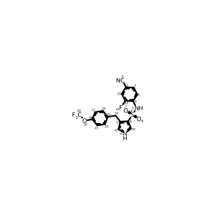 N#Cc1ccc(NS(=O)(=O)c2c[nH]cc2Cc2ccc(OC(F)(F)F)cc2)c(F)c1